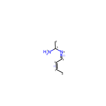 C/C=C\C=N/C(C)N